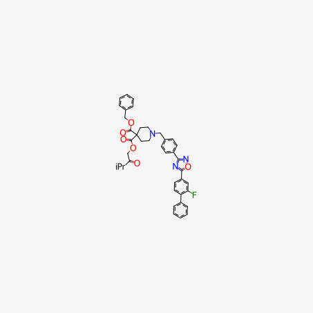 CC(C)C(=O)COC(=O)C1(C(=O)OCc2ccccc2)CCN(Cc2ccc(-c3noc(-c4ccc(-c5ccccc5)c(F)c4)n3)cc2)CC1